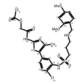 COc1ccc(CNCCCS(=O)(=O)Nc2cc(-c3sc(NC(=O)COC(=O)C(F)(F)F)nc3C)cnc2Cl)c(OC)c1